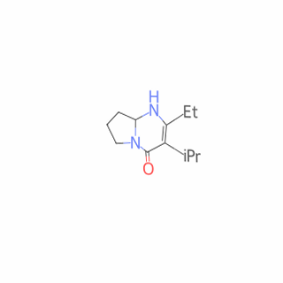 CCC1=C(C(C)C)C(=O)N2CCCC2N1